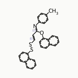 Cc1ccc(/N=C(/C=C/SSc2cccc3ccccc23)Oc2cccc3ccccc23)cc1